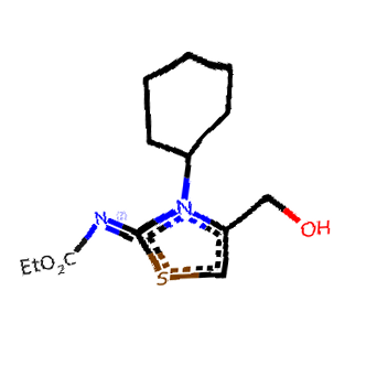 CCOC(=O)/N=c1\scc(CO)n1C1CCCCC1